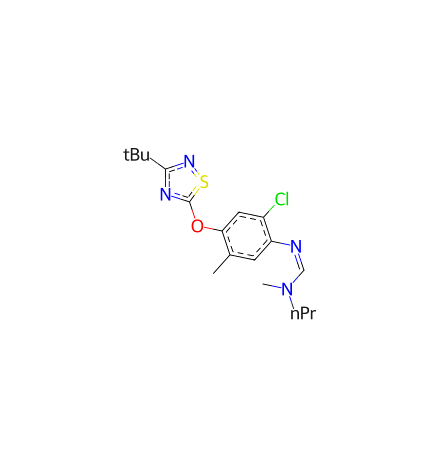 CCCN(C)/C=N\c1cc(C)c(Oc2nc(C(C)(C)C)ns2)cc1Cl